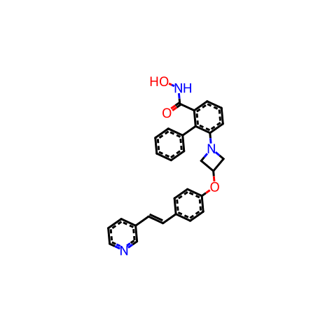 O=C(NO)c1cccc(N2CC(Oc3ccc(C=Cc4cccnc4)cc3)C2)c1-c1ccccc1